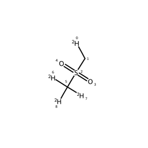 [2H]CS(=O)(=O)C([2H])([2H])[2H]